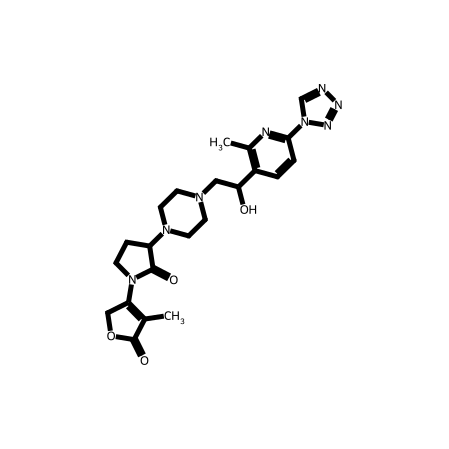 CC1=C(N2CCC(N3CCN(CC(O)c4ccc(-n5cnnn5)nc4C)CC3)C2=O)COC1=O